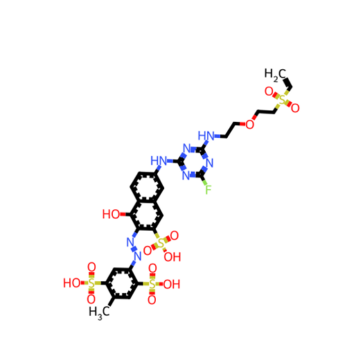 C=CS(=O)(=O)CCOCCNc1nc(F)nc(Nc2ccc3c(O)c(/N=N/c4cc(S(=O)(=O)O)c(C)cc4S(=O)(=O)O)c(S(=O)(=O)O)cc3c2)n1